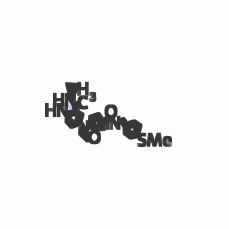 CSc1ccc(CNC(=O)c2ccc3c(c2)OCCN3C2=C/C(=C(\C)NC3CC3)C(=N)C=C2)cc1